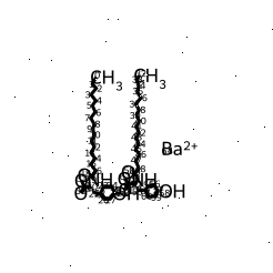 CCCCCCCCCCCCCCCCCC(=O)N[C@@H](Cc1ccc(O)cc1)C(=O)[O-].CCCCCCCCCCCCCCCCCC(=O)N[C@@H](Cc1ccc(O)cc1)C(=O)[O-].[Ba+2]